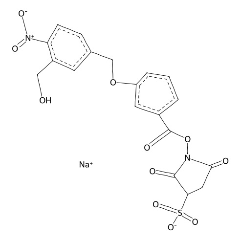 O=C(ON1C(=O)CC(S(=O)(=O)[O-])C1=O)c1cccc(OCc2ccc([N+](=O)[O-])c(CO)c2)c1.[Na+]